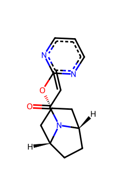 C=CC(=O)N1[C@@H]2CC[C@H]1C[C@@H](Oc1ncccn1)C2